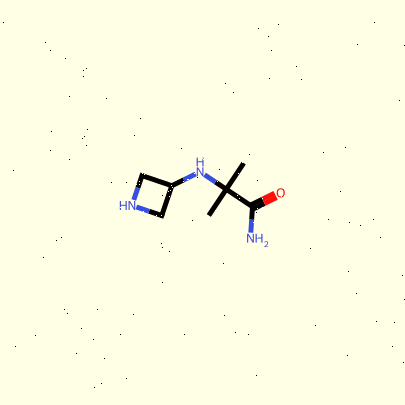 CC(C)(NC1CNC1)C(N)=O